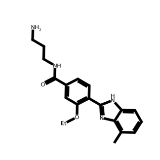 CCOc1cc(C(=O)NCCCN)ccc1-c1nc2c(C)cccc2[nH]1